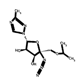 Cc1ncn([C@@H]2O[C@@](COC(C)C)(N=[N+]=[N-])[C@@H](O)[C@H]2O)n1